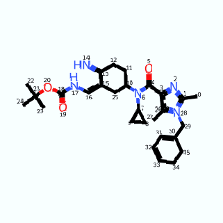 Cc1nc(C(=O)N(C2CC2)C2CCC(=N)/C(=C\NC(=O)OC(C)(C)C)C2)c(C)n1CC1=CC=CCC1